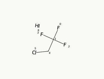 FC(F)(F)CCl.I